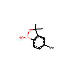 CC(=O)c1ccc2c(c1)C(C)(C)OB2O